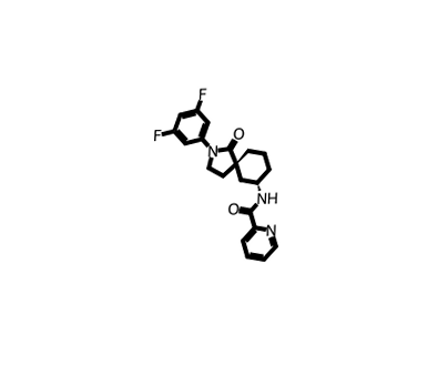 O=C(N[C@H]1CCC[C@]2(CCN(c3cc(F)cc(F)c3)C2=O)C1)c1ccccn1